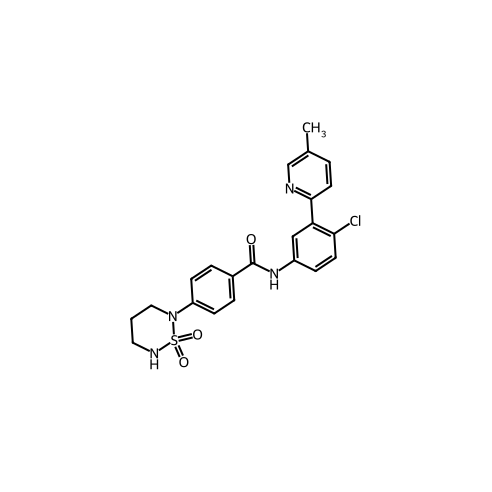 Cc1ccc(-c2cc(NC(=O)c3ccc(N4CCCNS4(=O)=O)cc3)ccc2Cl)nc1